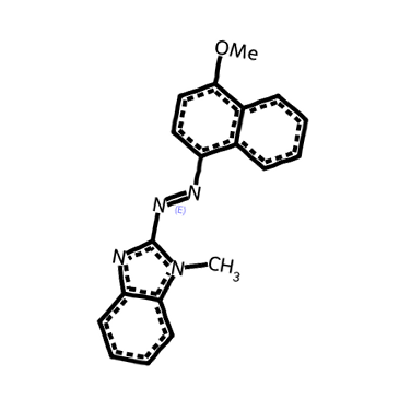 COc1ccc(/N=N/c2nc3ccccc3n2C)c2ccccc12